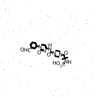 CC(C)(NC(=O)O)C(=O)N1CCN(C(=O)Nc2ccn(-c3cccc(C=O)c3)c(=O)n2)CC1